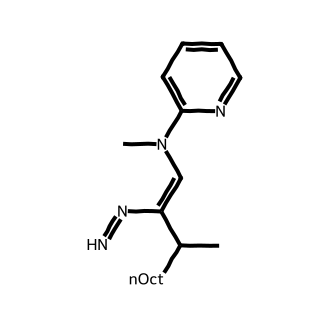 CCCCCCCCC(C)/C(=C/N(C)c1ccccn1)N=N